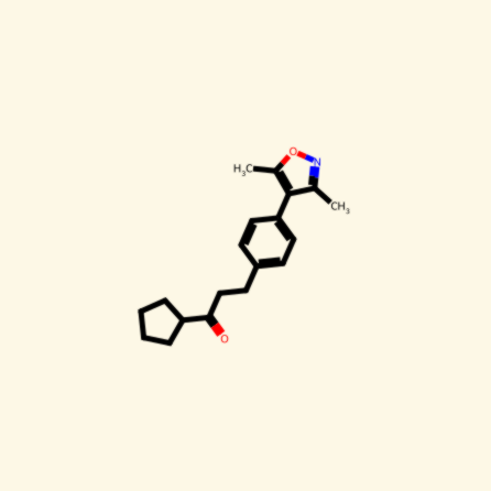 Cc1noc(C)c1-c1ccc(CCC(=O)C2CCCC2)cc1